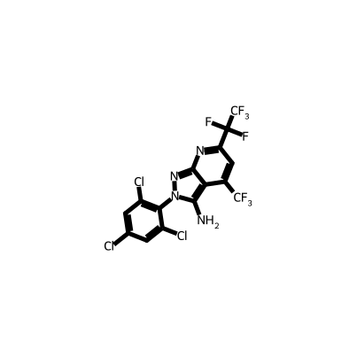 Nc1c2c(C(F)(F)F)cc(C(F)(F)C(F)(F)F)nc2nn1-c1c(Cl)cc(Cl)cc1Cl